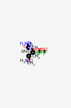 COc1c(C(C)n2ccc(=O)c3c(N)ncnc32)cc(Cl)c(C)c1-c1cccc(C(=O)N(C)C)c1.O=C(O)C(F)(F)F.O=C(O)C(F)(F)F